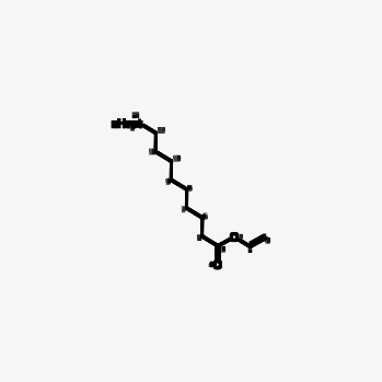 C=COC(=O)CCCCCCCCCCCCCCC